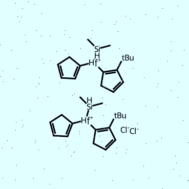 C[SiH](C)[Hf+]([C]1=CC=CC1)[C]1=C(C(C)(C)C)C=CC1.C[SiH](C)[Hf+]([C]1=CC=CC1)[C]1=C(C(C)(C)C)C=CC1.[Cl-].[Cl-]